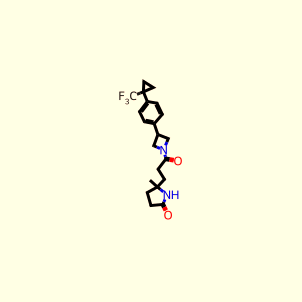 CC1(CCC(=O)N2CC(c3ccc(C4(C(F)(F)F)CC4)cc3)C2)CCC(=O)N1